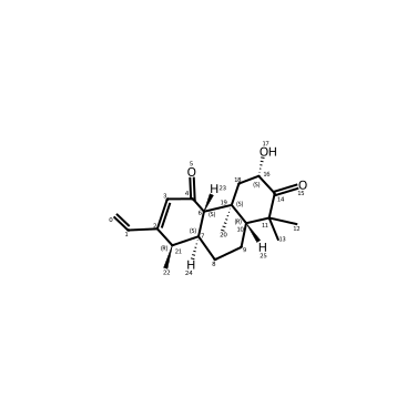 C=CC1=CC(=O)[C@H]2[C@@H](CC[C@H]3C(C)(C)C(=O)[C@@H](O)C[C@]23C)[C@H]1C